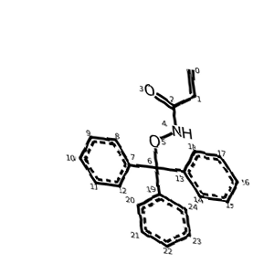 C=CC(=O)NOC(c1ccccc1)(c1ccccc1)c1ccccc1